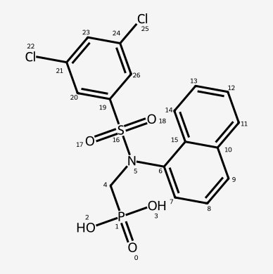 O=P(O)(O)CN(c1cccc2ccccc12)S(=O)(=O)c1cc(Cl)cc(Cl)c1